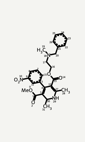 COC(=O)C1=C(c2cccc([N+](=O)[O-])c2)C(C(=O)OCCN(C)Cc2ccccc2)=C(C)NC1C